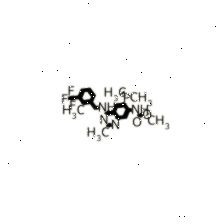 COC(=O)Nc1cc2nc(C)nc(NCc3cccc(C(F)(F)F)c3C)c2cc1P(C)C